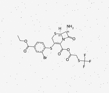 CCOC(=O)c1ccc(SC2=C(C(=O)OC(=O)CSC(F)(F)F)N3C(=O)[C@@H](N)[C@@H]3SC2)c(Br)c1